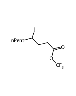 CCCCCC(I)CCC(=O)OC(F)(F)F